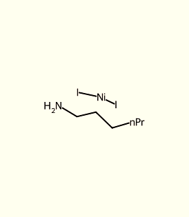 CCCCCCN.[I][Ni][I]